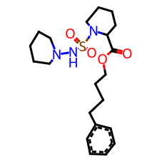 O=C(OCCCCc1ccccc1)C1CCCCN1S(=O)(=O)NN1CCCCC1